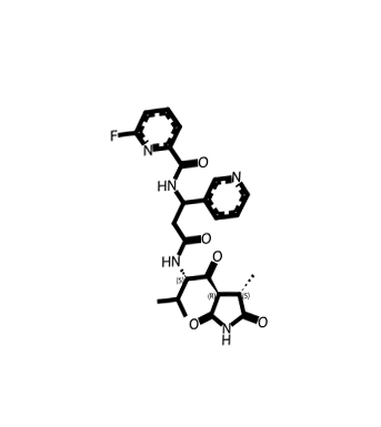 CC(C)[C@H](NC(=O)CC(NC(=O)c1cccc(F)n1)c1cccnc1)C(=O)[C@@H]1C(=O)NC(=O)[C@H]1C